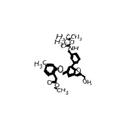 CCOC(=O)Cc1ccc(C)cc1OCc1cc(-c2cccc(CNC(=O)OC(C)(C)C)c2)c2oc(CO)cc2c1